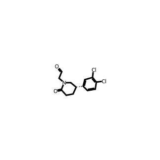 O=CCN1C[C@H](c2ccc(Cl)c(Cl)c2)CCC1=O